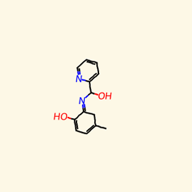 CC1=CC=C(O)C(=NC(O)c2ccccn2)C1